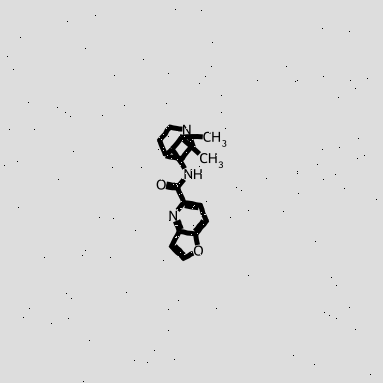 CC1(C)C(NC(=O)c2ccc3occc3n2)C2CCN1CC2